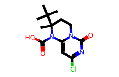 CC(C)(C)C1(C)CCn2c(cc(Cl)nc2=O)N1C(=O)O